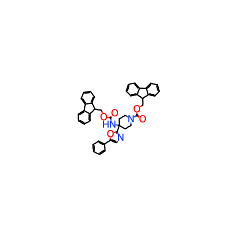 O=C(NC1(c2ncc(-c3ccccc3)o2)CCN(C(=O)OCC2c3ccccc3-c3ccccc32)CC1)OCC1c2ccccc2-c2ccccc21